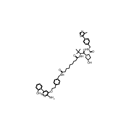 Cc1ncsc1-c1ccc(CNC(=O)[C@@H]2C[C@@H](O)CN2C(=O)[C@@H](NC(=O)CCCCCCCC(=O)NCc2ccc(CCOc3cc(-c4ccccc4O)nnc3N)cc2)C(C)(C)C)cc1